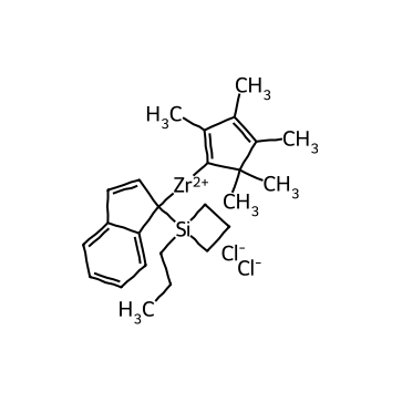 CCC[Si]1([C]2([Zr+2][C]3=C(C)C(C)=C(C)C3(C)C)C=Cc3ccccc32)CCC1.[Cl-].[Cl-]